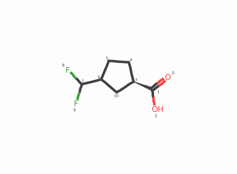 O=C(O)[C@@H]1CCC(C(F)F)C1